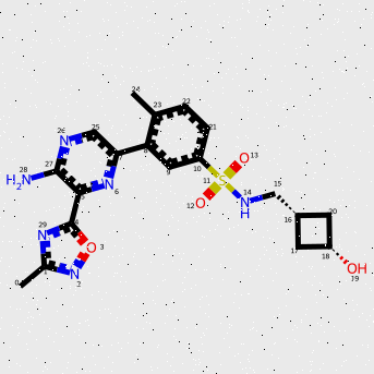 Cc1noc(-c2nc(-c3cc(S(=O)(=O)NC[C@H]4C[C@@H](O)C4)ccc3C)cnc2N)n1